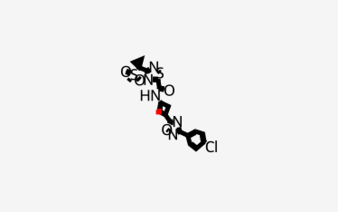 CS(=O)(=O)C1(c2nsc(C(=O)NC34CC(c5nc(-c6ccc(Cl)cc6)no5)(C3)C4)n2)CC1